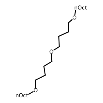 CCCCCCCCOCCCCOCCCCOCCCCCCCC